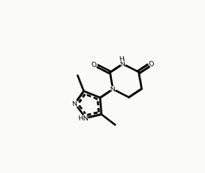 Cc1n[nH]c(C)c1N1CCC(=O)NC1=O